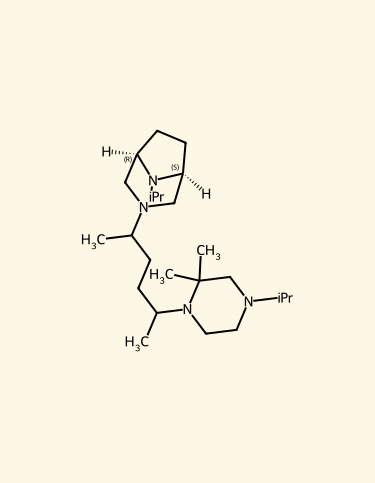 CC(C)N1CCN(C(C)CCC(C)N2C[C@H]3CC[C@@H](C2)N3C(C)C)C(C)(C)C1